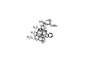 C=C[C@H]1OC2C[C@H]3OC[C@@]3(OC(C)=O)[C@H]3[C@H](OC(=O)c4ccccc4)[C@]4(O)C[C@H](OC(=O)[C@@H](O)[C@H](CC(C)C)NC(=O)OC(C)(C)C)C(C)=C([C@H](C)[C@H](O1)[C@]23C)C4(C)C